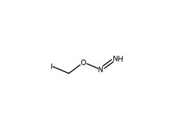 N=NOCI